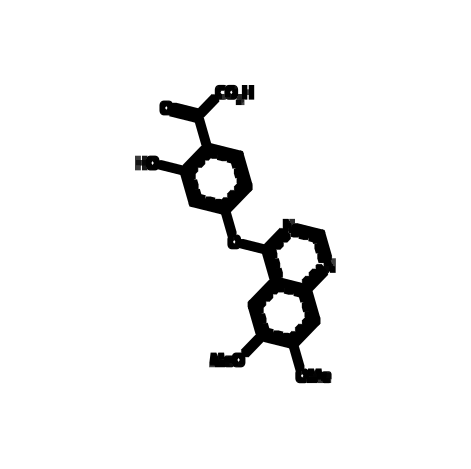 COc1cc2ncnc(Oc3ccc(C(=O)C(=O)O)c(O)c3)c2cc1OC